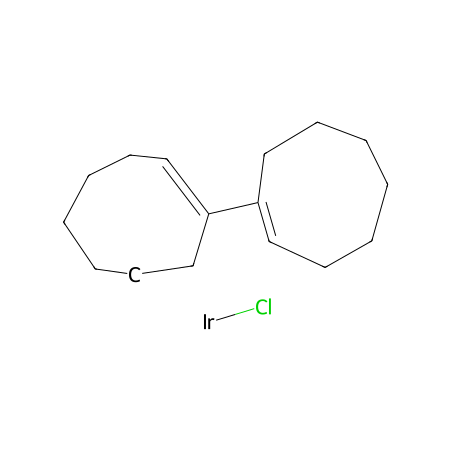 C1=C(C2=CCCCCCC2)CCCCCC1.[Cl][Ir]